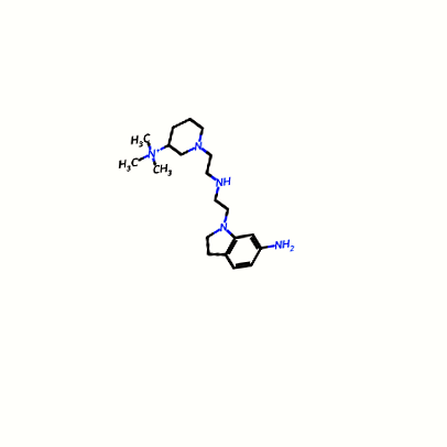 C[N+](C)(C)C1CCCN(CCNCCN2CCc3ccc(N)cc32)C1